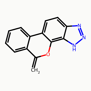 C=C1Oc2c(ccc3nn[nH]c23)-c2ccccc21